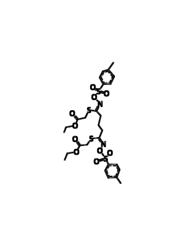 CCOC(=O)CSC(CCCC(=NOS(=O)(=O)c1ccc(C)cc1)SCC(=O)OCC)=NOS(=O)(=O)c1ccc(C)cc1